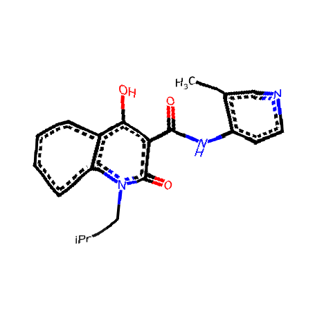 Cc1cnccc1NC(=O)c1c(O)c2ccccc2n(CC(C)C)c1=O